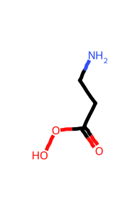 NCCC(=O)OO